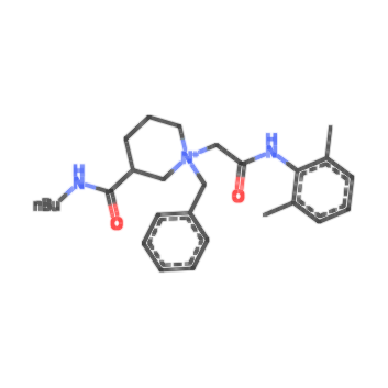 CCCCNC(=O)C1CCC[N+](CC(=O)Nc2c(C)cccc2C)(Cc2ccccc2)C1